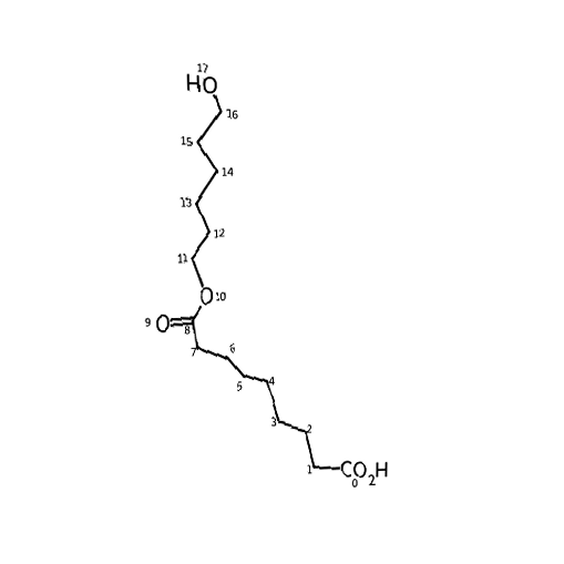 O=C(O)CCCCCCCC(=O)OCCCCCCO